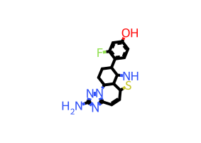 Nc1nc2n(n1)C1CCC(c3ccc(O)cc3F)C3NSC(C=C2)C31